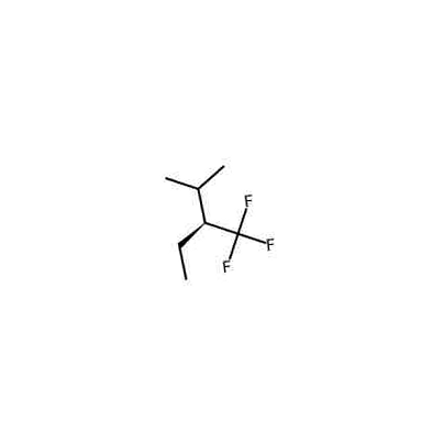 CC[C@@H](C(C)C)C(F)(F)F